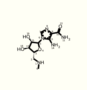 CNC[C@H]1OC(n2cnc(C(N)=O)c2N)[C@H](O)[C@@H]1O